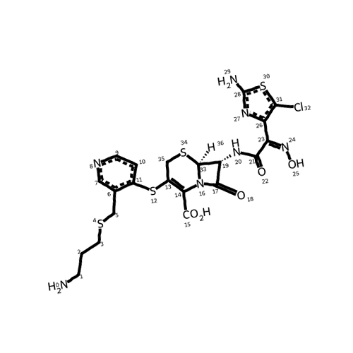 NCCCSCc1cnccc1SC1=C(C(=O)O)N2C(=O)[C@@H](NC(=O)/C(=N\O)c3nc(N)sc3Cl)[C@@H]2SC1